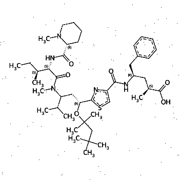 CC[C@H](C)[C@H](NC(=O)[C@H]1CCCCN1C)C(=O)N(C)C(C[C@@H](OC(C)(C)CC(C)(C)C)c1nc(C(=O)N[C@@H](Cc2ccccc2)C[C@H](C)C(=O)O)cs1)C(C)C